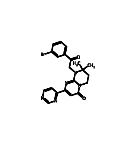 CC1(C)CCn2c(nc(-c3ccncn3)cc2=O)N1CC(=O)c1cccc(Br)c1